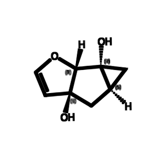 O[C@]12C[C@H]1C[C@]1(O)C=CO[C@H]21